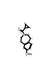 COc1ccc2c(c1)CCN(C(=O)C1CC1)CC2